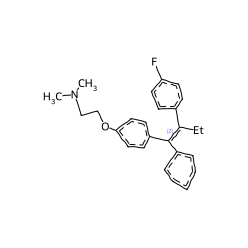 CC/C(=C(\c1ccccc1)c1ccc(OCCN(C)C)cc1)c1ccc(F)cc1